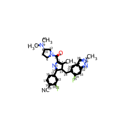 CC1=C(C(=O)N2CC[C@H](N(C)C)C2)N=C(c2ccc(C#N)c(F)c2)C1Cc1cc2cn(C)nc2cc1F